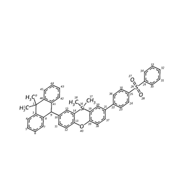 CC1(C)c2ccccc2C(c2ccc3c(c2)[Si](C)(C)c2cc(-c4ccc(S(=O)(=O)c5ccccc5)cc4)ccc2O3)c2ccccc21